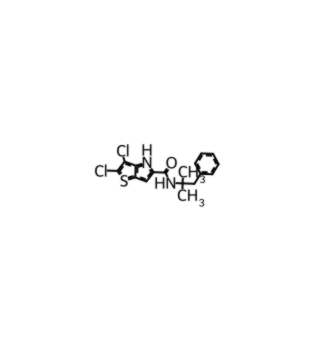 CC(C)(Cc1ccccc1)NC(=O)c1cc2sc(Cl)c(Cl)c2[nH]1